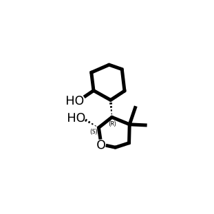 CC1(C)CCO[C@H](O)[C@@H]1C1CCCCC1O